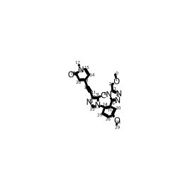 COCc1nnc2n1Cc1c(C#Cc3ccn(C)c(=O)c3)ncn1-c1ccc(OC)cc1-2